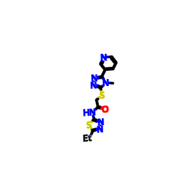 CCc1nnc(NC(=O)CSc2nnc(-c3cccnc3)n2C)s1